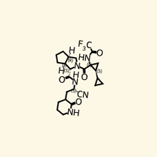 N#C[C@H](CC1CCCNC1=O)NC(=O)[C@@H]1[C@H]2CCC[C@H]2CN1C(=O)[C@]1(NC(=O)C(F)(F)F)C[C@H]1C1CC1